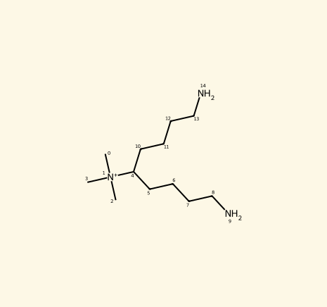 C[N+](C)(C)C(CCCCN)CCCCN